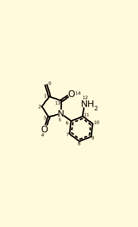 C=C1CC(=O)N(c2ccccc2N)C1=O